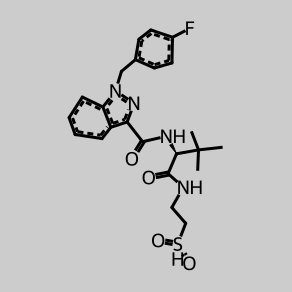 CC(C)(C)[C@H](NC(=O)c1nn(Cc2ccc(F)cc2)c2ccccc12)C(=O)NCC[SH](=O)=O